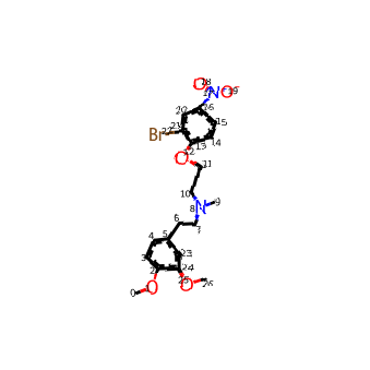 COc1ccc(CCN(C)CCOc2ccc([N+](=O)[O-])cc2Br)cc1OC